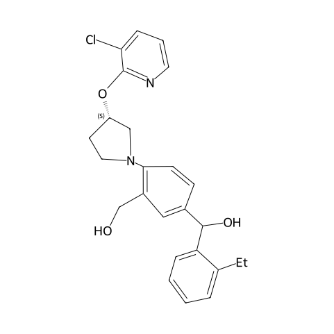 CCc1ccccc1C(O)c1ccc(N2CC[C@H](Oc3ncccc3Cl)C2)c(CO)c1